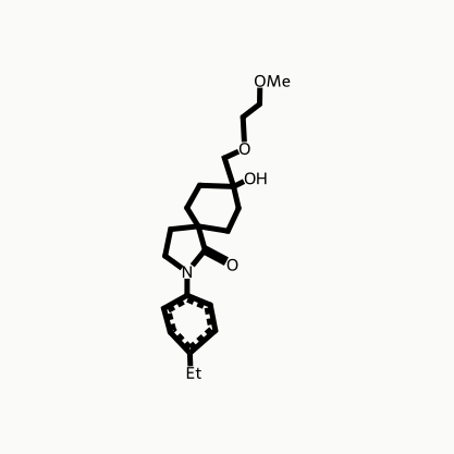 CCc1ccc(N2CCC3(CCC(O)(COCCOC)CC3)C2=O)cc1